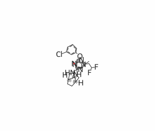 Cc1cc(N2C[C@H]3CC[C@@H](C2)[C@H]3Nc2nc(Oc3cccc(Cl)c3)n(CC(F)F)n2)ncn1